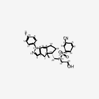 CC12Cc3cnn(-c4ccc(F)cc4)c3C=C1CC[C@@H]2CN(CCO)S(=O)(=O)c1cccc(C#N)c1